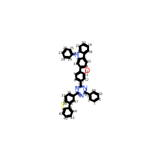 c1ccc(-c2nc(-c3ccc4c(c3)oc3cc5c6ccccc6n(-c6ccccc6)c5cc34)nc(-c3ccc4sc5ccccc5c4c3)n2)cc1